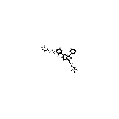 Cc1c(OCOCC[Si](C)(C)C)cccc1-c1ccc2c(c1)c(-c1ccccc1)nn2COCC[Si](C)(C)C